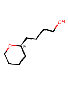 OCCCC[C@H]1CCCCO1